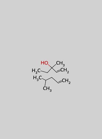 C=CC(C)(O)CC.C=CCC(C)C